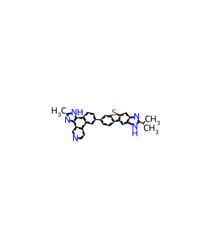 Cc1nc2c3cnccc3c3cc(-c4ccc5c(c4)sc4cc6nc(C(C)C)[nH]c6cc45)ccc3c2[nH]1